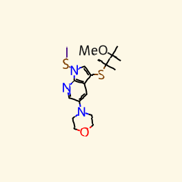 COC(C)(C)C(C)(C)Sc1cn(SI)c2ncc(N3CCOCC3)cc12